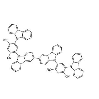 N#Cc1cc(C#N)c(-n2c3ccccc3c3cc(-c4ccc5c(c4)c4ccccc4n5-c4cc(-n5c6ccccc6c6ccccc65)c(C#N)cc4C#N)ccc32)cc1-n1c2ccccc2c2ccccc21